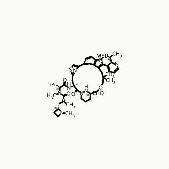 CCn1c(-c2cccnc2[C@H](C)OC)c2c3cc(ccc31)-c1csc(n1)C[C@H](NC(=O)[C@H](C(C)C)N(C)C(=O)N(C)C[C@H]1CCN1C)C(=O)N1CCC[C@](C=O)(COCC(C)(C)C2)N1